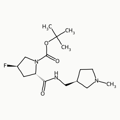 CN1CC[C@H](CNC(=O)[C@@H]2C[C@@H](F)CN2C(=O)OC(C)(C)C)C1